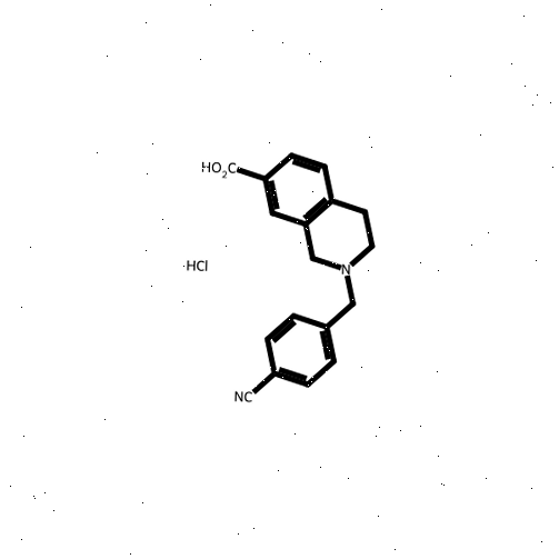 Cl.N#Cc1ccc(CN2CCc3ccc(C(=O)O)cc3C2)cc1